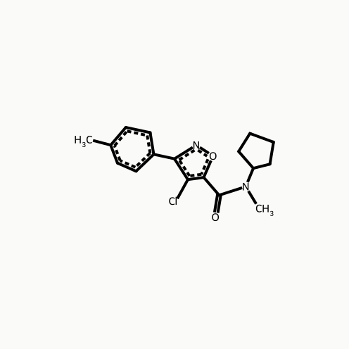 Cc1ccc(-c2noc(C(=O)N(C)C3CCCC3)c2Cl)cc1